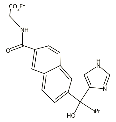 CCOC(=O)CNC(=O)c1ccc2cc(C(O)(c3c[nH]cn3)C(C)C)ccc2c1